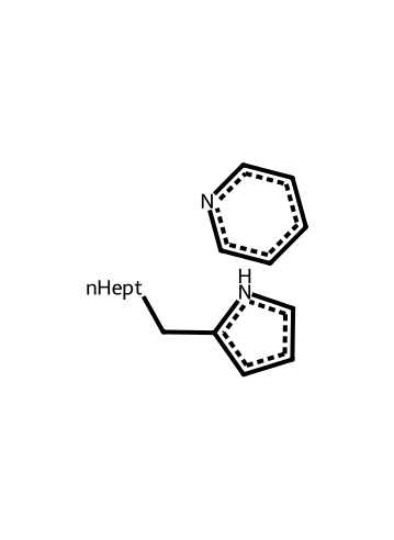 CCCCCCCCc1ccc[nH]1.c1ccncc1